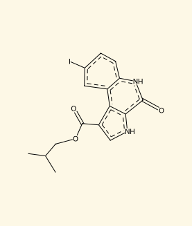 CC(C)COC(=O)c1c[nH]c2c(=O)[nH]c3ccc(I)cc3c12